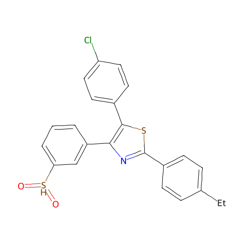 CCc1ccc(-c2nc(-c3cccc([SH](=O)=O)c3)c(-c3ccc(Cl)cc3)s2)cc1